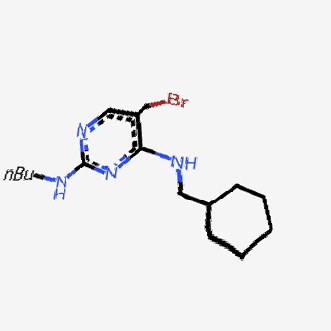 CCCCNc1ncc(Br)c(NCC2CCCCC2)n1